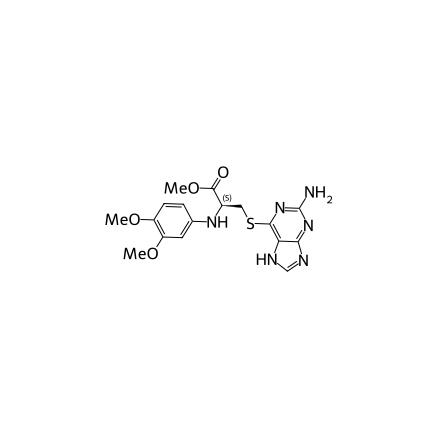 COC(=O)[C@@H](CSc1nc(N)nc2nc[nH]c12)Nc1ccc(OC)c(OC)c1